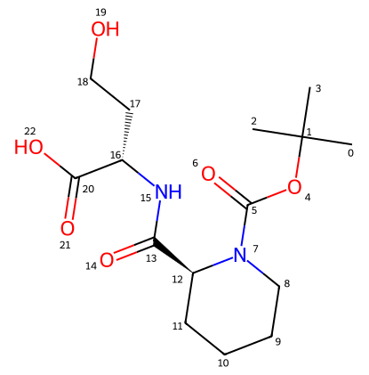 CC(C)(C)OC(=O)N1CCCC[C@H]1C(=O)N[C@@H](CCO)C(=O)O